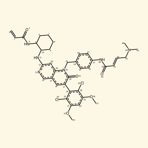 C=CC(=O)NC1CCCCC1Nc1ncc2cc(-c3c(Cl)c(OC)cc(OC)c3Cl)c(=O)n(Cc3ccc(NC(=O)/C=C/CN(C)C)cc3)c2n1